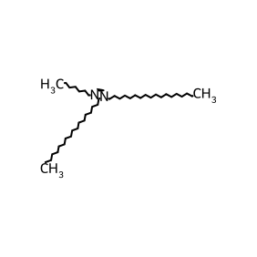 CCCCCCCCCCCCCCCCCCN1C=CN(CCCCCCC)C1CCCCCCCCCCCCCCCCC